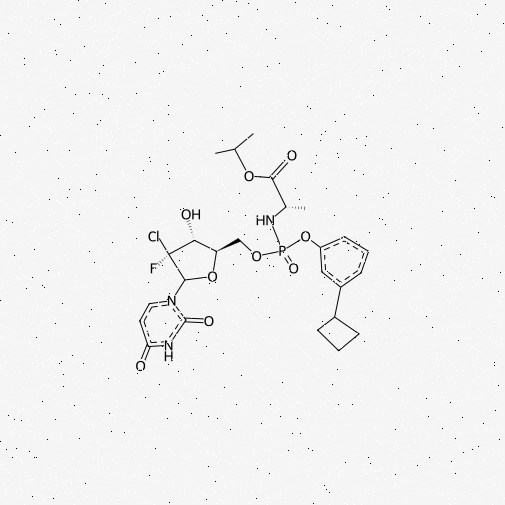 CC(C)OC(=O)[C@H](C)NP(=O)(OC[C@H]1OC(n2ccc(=O)[nH]c2=O)[C@@](F)(Cl)[C@@H]1O)Oc1cccc(C2CCC2)c1